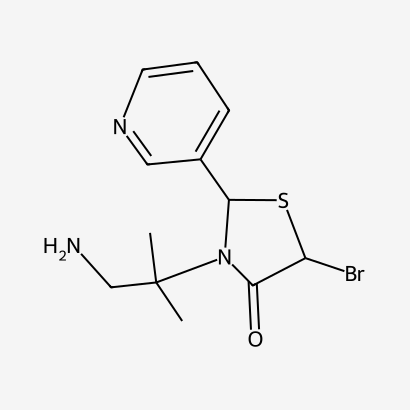 CC(C)(CN)N1C(=O)C(Br)SC1c1cccnc1